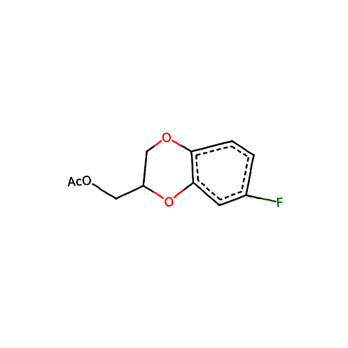 CC(=O)OCC1COc2ccc(F)cc2O1